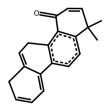 CC1(C)C=CC(=O)c2c1ccc1c2CC=C2CC=CC=C21